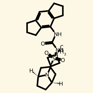 CN1CC(N2[C@@H]3CC[C@H]2C[C@@H](S(=O)(=O)NC(=O)Nc2c4c(cc5c2CCC5)CCC4)C3)C1